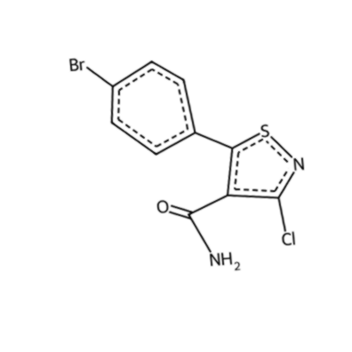 NC(=O)c1c(Cl)nsc1-c1ccc(Br)cc1